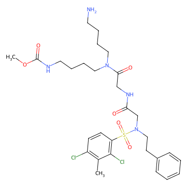 COC(=O)NCCCCN(CCCCN)C(=O)CNC(=O)CN(CCc1ccccc1)S(=O)(=O)c1ccc(Cl)c(C)c1Cl